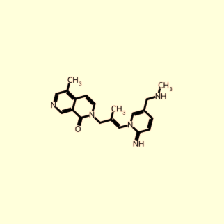 CNCc1ccc(=N)n(/C=C(\C)Cn2ccc3c(C)cncc3c2=O)c1